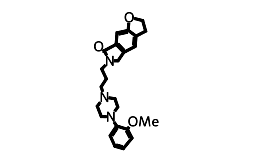 COc1ccccc1N1CCN(CCCN2Cc3cc4c(cc3C2=O)OCC4)CC1